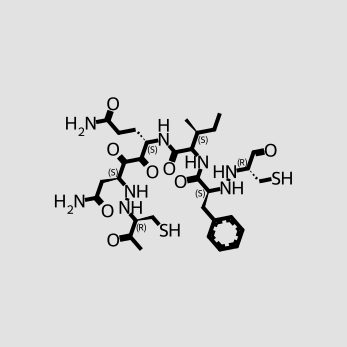 CC[C@H](C)C(NC(=O)[C@H](Cc1ccccc1)NN[C@H](C=O)CS)C(=O)N[C@@H](CCC(N)=O)C(=O)C(=O)[C@H](CC(N)=O)NN[C@@H](CS)C(C)=O